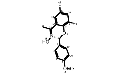 COc1ccc(COc2c(F)cc(F)cc2C(C)=NO)cc1